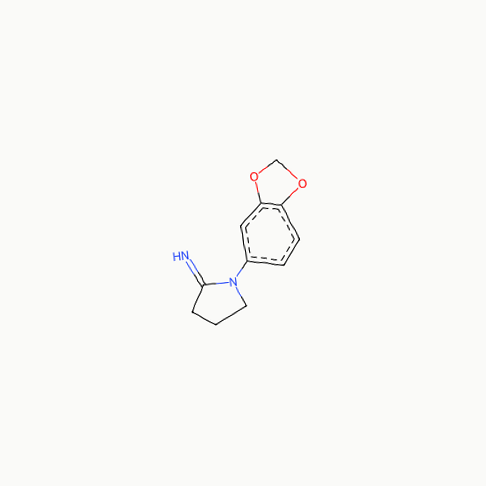 N=C1CCCN1c1ccc2c(c1)OCO2